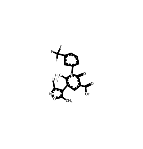 Cc1noc(C)c1-c1cc(C(=O)O)c(=O)n(-c2cccc(C(F)(F)F)c2)c1C